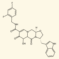 O=C(NCc1ccc(F)cc1F)C1=CN2C[C@H]3OC[C@H](Cc4c[nH]c5ccccc45)N3C(=O)C2C(O)C1=O